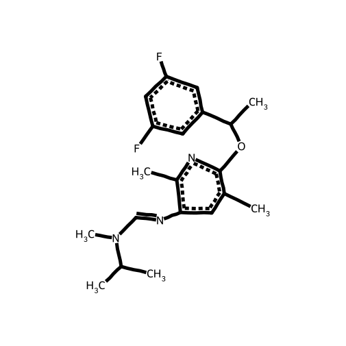 Cc1cc(/N=C/N(C)C(C)C)c(C)nc1OC(C)c1cc(F)cc(F)c1